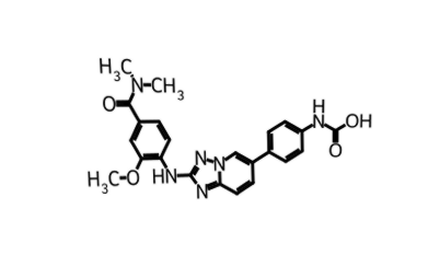 COc1cc(C(=O)N(C)C)ccc1Nc1nc2ccc(-c3ccc(NC(=O)O)cc3)cn2n1